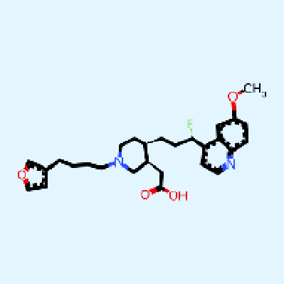 COc1ccc2nccc([C@@H](F)CC[C@@H]3CCN(CCCCc4ccoc4)C[C@@H]3CC(=O)O)c2c1